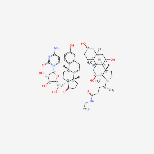 C[C@H](CCC(=O)NCC(=O)O)[C@H]1CC[C@H]2[C@@H]3[C@H](O)C[C@@H]4C[C@H](O)CC[C@]4(C)[C@H]3C[C@H](O)[C@]12C.C[C@]12CC[C@H]3C(=CCc4cc(O)ccc43)[C@@H]1CCC2=O.Nc1ccn([C@@H]2O[C@H](CO)[C@@H](O)[C@@H]2O)c(=O)n1